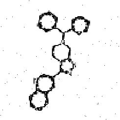 c1ccc(C(c2ccccc2)N2CCn3c(nnc3-c3cnc4ccccc4c3)C2)cc1